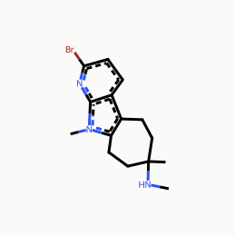 CNC1(C)CCc2c(n(C)c3nc(Br)ccc23)CC1